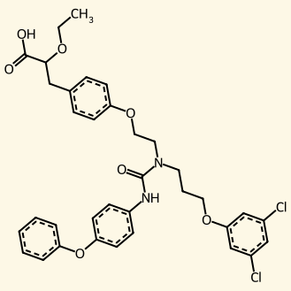 CCOC(Cc1ccc(OCCN(CCCOc2cc(Cl)cc(Cl)c2)C(=O)Nc2ccc(Oc3ccccc3)cc2)cc1)C(=O)O